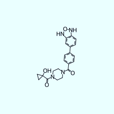 O=C(c1ccc(-c2ccc3c(c2)NON3)cc1)N1CCN(C(=O)C2(O)CC2)CC1